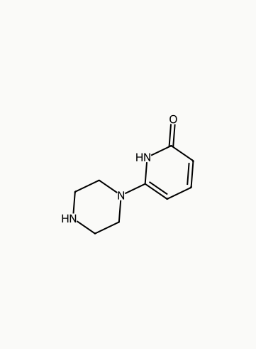 O=c1cccc(N2CCNCC2)[nH]1